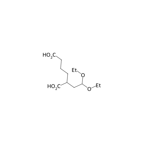 CCOC(CC(CCCC(=O)O)C(=O)O)OCC